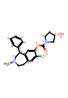 CN1CCc2cc(Cl)c(OC(=O)N3CC[C@H](O)C3)cc2C(c2ccccc2)C1